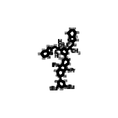 CC(C)c1c2ccc(-c3cc(C(C)(C)Cc4cc5ccccc5s4)cc(C(C)(C)Cc4cc5ccccc5s4)c3)cc2c(C(C)C)c2ccc(-c3cc(C(C)(C)C)cc(C(C)(C)C)c3)cc12